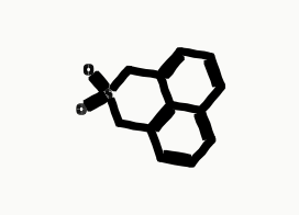 O=S1(=O)Cc2cccc3cccc(c23)C1